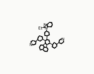 CCc1nc2ccccc2n1-c1ccc(-c2cc(-c3cccc(-c4ccncc4)c3)c3c(c2-c2cccc(-c4ccncc4)c2)-c2cccc4cccc-3c24)cc1